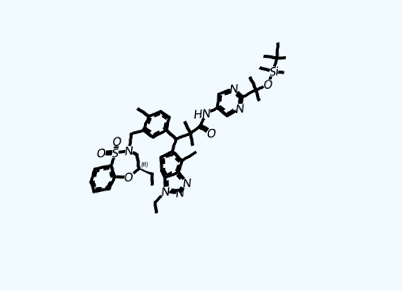 CC[C@@H]1CN(Cc2cc(C(c3ccc4c(nnn4CC)c3C)C(C)(C)C(=O)Nc3cnc(C(C)(C)O[Si](C)(C)C(C)(C)C)nc3)ccc2C)S(=O)(=O)c2ccccc2O1